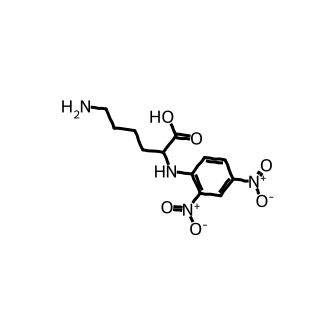 NCCCCC(Nc1ccc([N+](=O)[O-])cc1[N+](=O)[O-])C(=O)O